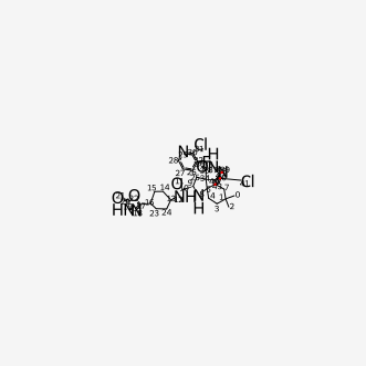 CC1(C)CCC2(CC1)N[C@@H](C(=O)NC1CCC(c3n[nH]c(=O)o3)CC1)[C@H](c1ccnc(Cl)c1F)[C@]21C(=O)Nc2nc(Cl)ccc21